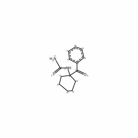 NC(=S)NC1(C(=O)c2ccccc2)CCCCC1